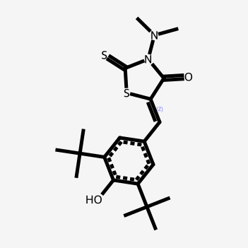 CN(C)N1C(=O)/C(=C/c2cc(C(C)(C)C)c(O)c(C(C)(C)C)c2)SC1=S